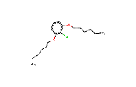 CCCCCCOc1cccc(OCCCCCC)c1Cl